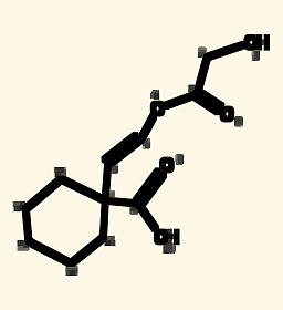 O=C(CO)OC=CC1(C(=O)O)CCCCC1